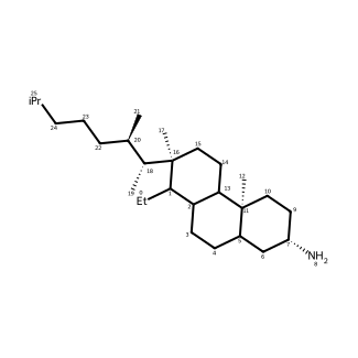 CCC1C2CCC3C[C@@H](N)CC[C@]3(C)C2CC[C@]1(C)[C@H](C)[C@H](C)CCCC(C)C